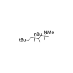 CCCCC(C)(CCC(C)(C)C)C(C)CC(C)(C)NC